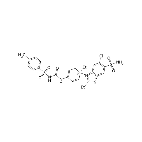 CCc1nc2cc(S(N)(=O)=O)c(Cl)cc2n1[C@@]1(CC)C=CC(NC(=O)NS(=O)(=O)c2ccc(C)cc2)=CC1